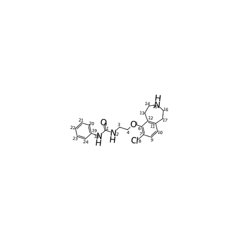 O=C(NCCOc1c(Cl)ccc2c1CCNCC2)Nc1ccccc1